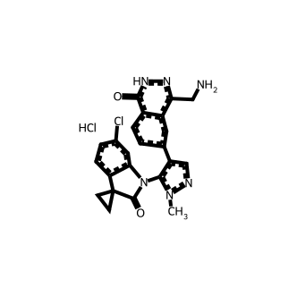 Cl.Cn1ncc(-c2ccc3c(=O)[nH]nc(CN)c3c2)c1N1C(=O)C2(CC2)c2ccc(Cl)cc21